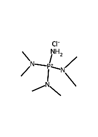 CN(C)[P+](N)(N(C)C)N(C)C.[Cl-]